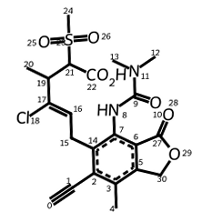 C#Cc1c(C)c2c(c(NC(=O)N(C)C)c1C/C=C(\Cl)C(C)C(C(=O)O)S(C)(=O)=O)C(=O)OC2